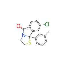 Cc1cccc(C23SCCN2C(=O)c2ccc(Cl)cc23)c1